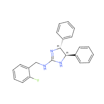 Fc1ccccc1CNC1=N[C@H](c2ccccc2)[C@@H](c2ccccc2)N1